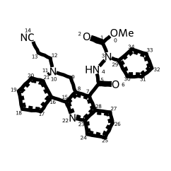 COC(=O)N(NC(=O)c1c(CN(C)CCC#N)c(-c2ccccc2)nc2ccccc12)c1ccccc1